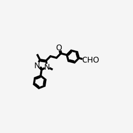 Cc1nc(-c2ccccc2)n(C)c1CCC(=O)c1ccc(C=O)cc1